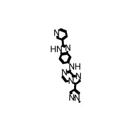 Cn1cc(C2CN=C3C(Nc4ccc5[nH]c(-c6cccnc6)nc5c4)=NC=CN32)cn1